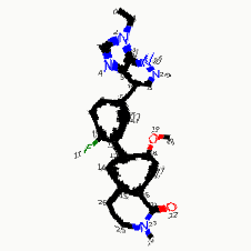 CCn1cnc2c(-c3ccc(F)c(-c4cc5c(cc4OC)C(=O)N(C)CC5)c3)cnnc21